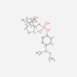 CCC(C)c1ccc(OS(=O)(=O)CC23CCC(CC2=O)C3(C)C)cc1